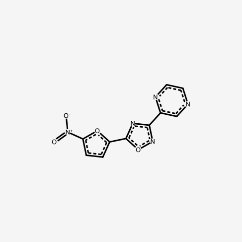 O=[N+]([O-])c1ccc(-c2nc(-c3cnccn3)no2)o1